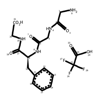 NCC(=O)NCC(=O)N[C@@H](Cc1ccccc1)C(=O)NCC(=O)O.O=C(O)C(F)(F)F